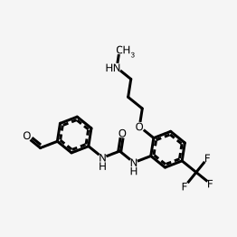 CNCCCOc1ccc(C(F)(F)F)cc1NC(=O)Nc1cccc(C=O)c1